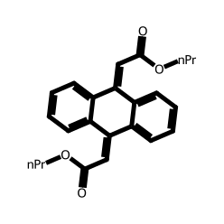 CCCOC(=O)C=c1c2ccccc2c(=CC(=O)OCCC)c2ccccc12